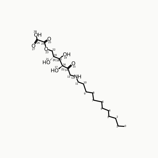 CCCCCCCCCCCCNCC(=O)[C@@H](O)[C@H](O)[C@H](O)COC(=O)C(=O)O